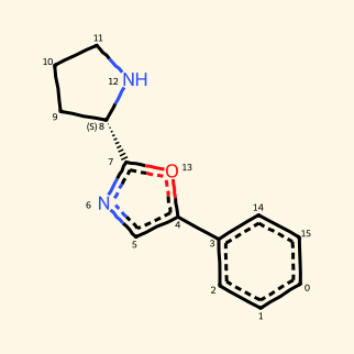 c1ccc(-c2cnc([C@@H]3CCCN3)o2)cc1